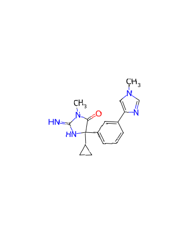 CN1C(=N)NC(c2cccc(-c3cn(C)cn3)c2)(C2CC2)C1=O